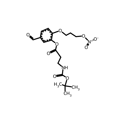 CC(C)(C)OC(=O)NCCC(=O)Oc1cc(C=O)ccc1OCCCO[N+](=O)[O-]